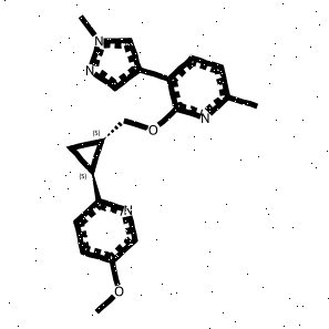 COc1ccc([C@H]2C[C@@H]2COc2nc(C)ccc2-c2cnn(C)c2)nc1